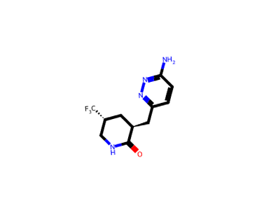 Nc1ccc(C[C@@H]2C[C@@H](C(F)(F)F)CNC2=O)nn1